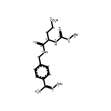 CC(=O)O/N=C(/N)c1ccc(CNC(=O)C(CCC(=O)O)NC(=O)OC(C)(C)C)cc1